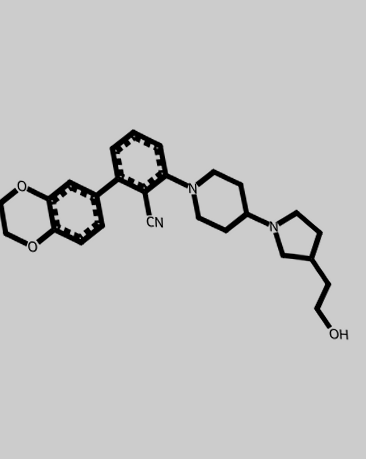 N#Cc1c(-c2ccc3c(c2)OCCO3)cccc1N1CCC(N2CCC(CCO)C2)CC1